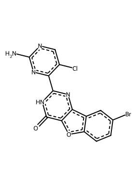 Nc1ncc(Cl)c(-c2nc3c(oc4ccc(Br)cc43)c(=O)[nH]2)n1